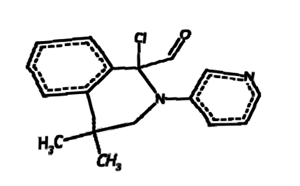 CC1(C)CN(c2cccnc2)C(Cl)(C=O)c2ccccc21